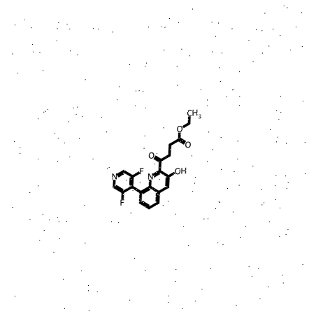 CCOC(=O)CCC(=O)c1nc2c(-c3c(F)cncc3F)cccc2cc1O